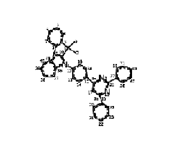 CC1(C)c2ccccc2-c2c1n(-c1ccc(-c3cc(-c4ccccc4)nc(-c4ccccc4)n3)cc1)c1ccccc21